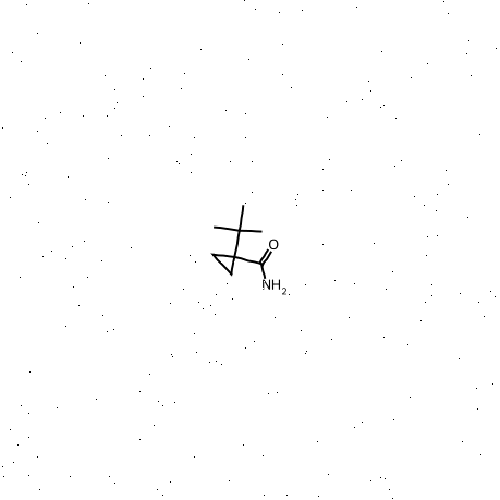 CC(C)(C)C1(C(N)=O)CC1